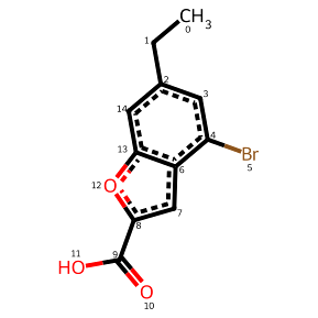 CCc1cc(Br)c2cc(C(=O)O)oc2c1